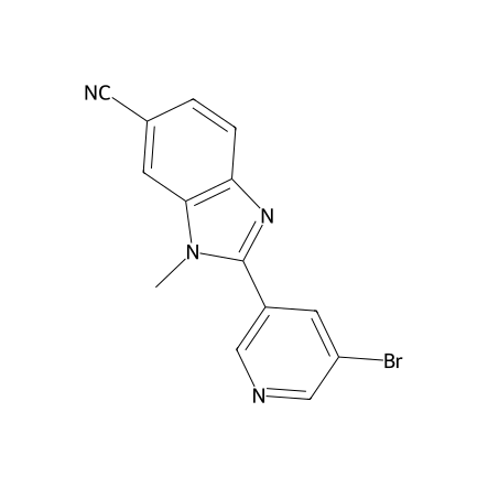 Cn1c(-c2cncc(Br)c2)nc2ccc(C#N)cc21